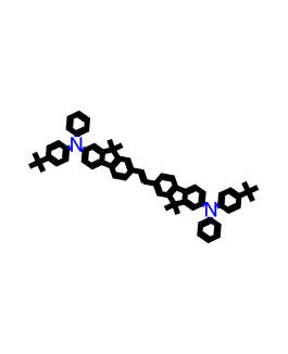 CC(C)(C)c1ccc(N(c2ccccc2)c2ccc3c(c2)C(C)(C)c2cc(/C=C/c4ccc5c(c4)C(C)(C)c4cc(N(c6ccccc6)c6ccc(C(C)(C)C)cc6)ccc4-5)ccc2-3)cc1